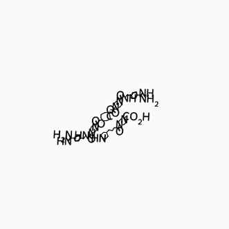 N=C(N)c1ccc(CNC(=O)N2CCN(C(=O)O[C@H]3CCC[C@@H](OC(=O)N4CCN(C(=O)NCc5ccc(C(=N)N)cc5)CC4)CCC3)CC2)cc1.O=C(O)N1CCN(C(=O)CCCC2CCNCC2)CC1